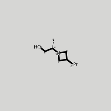 CC(C)C1CN([C@@H](C)CO)C1